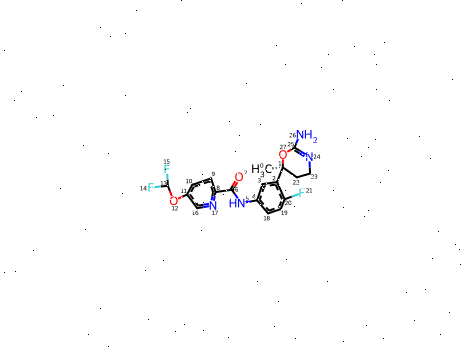 C[C@@]1(c2cc(NC(=O)c3ccc(OC(F)F)cn3)ccc2F)CCN=C(N)O1